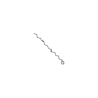 CCCCC=CCCCC=CCCCCC=O